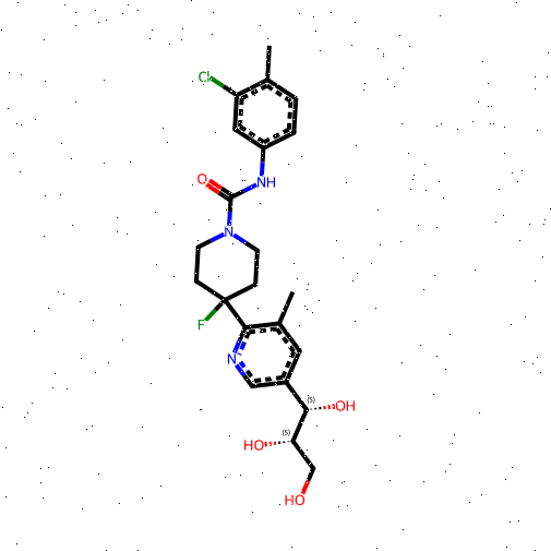 Cc1ccc(NC(=O)N2CCC(F)(c3ncc([C@H](O)[C@@H](O)CO)cc3C)CC2)cc1Cl